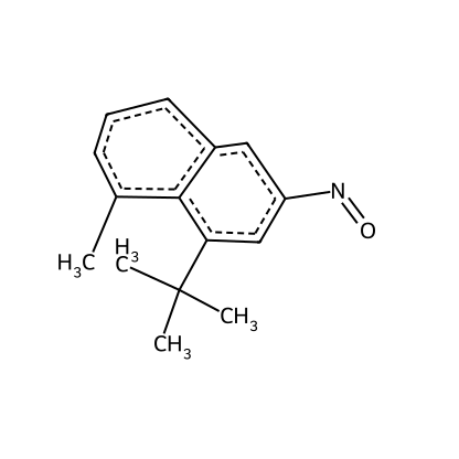 Cc1cccc2cc(N=O)cc(C(C)(C)C)c12